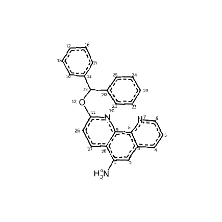 Nc1cc2cccnc2c2nc(OC(c3ccccc3)c3ccccc3)ccc12